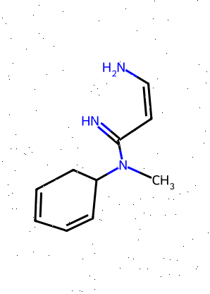 CN(C(=N)/C=C\N)C1C=CC=CC1